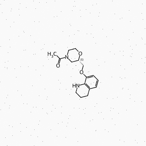 CC(=O)N1CCO[C@H](COc2cccc3c2NCCC3)C1